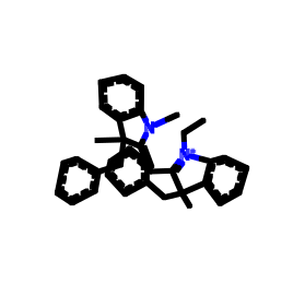 CC[N+]1=C(C=C2N(C)c3ccccc3C2(C)Cc2ccccc2)C(C)(Cc2ccccc2)c2ccccc21